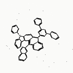 C1=CCC(n2c3ccccc3c3c4c(-c5ccc6ccccc6c5)c5ccccc5c(-c5cc(-c6ccccc6)cc(-c6ccccc6)c5)c4ccc32)C=C1